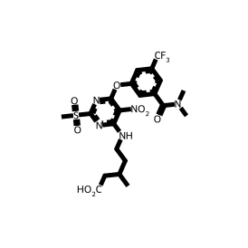 CC(CCNc1nc(S(C)(=O)=O)nc(Oc2cc(C(=O)N(C)C)cc(C(F)(F)F)c2)c1[N+](=O)[O-])CC(=O)O